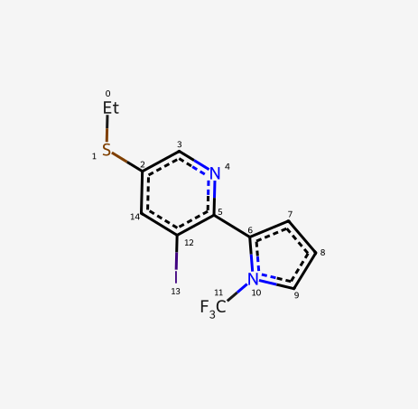 CCSc1cnc(-c2cccn2C(F)(F)F)c(I)c1